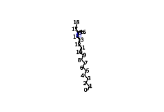 CCCCCCCCCCCCCC/C=C(\C)CC